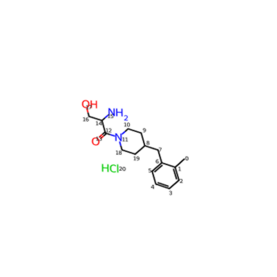 Cc1ccccc1CC1CCN(C(=O)C(N)CO)CC1.Cl